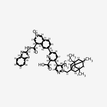 COC12CC3(C)CC(C)(CC(Cn4ncc(-c5ccc(-c6ccc7c[n+]([O-])cc(C(=O)Nc8nc9ccccc9s8)c7c6)nc5C(=O)O)c4C)(C3)C1)C2